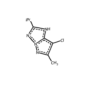 Cc1nn2nc(C(C)C)[nH]c2c1Cl